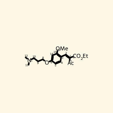 CCOC(=O)C(=Cc1ccc(OCCCN(C)C)cc1OC)C(C)=O